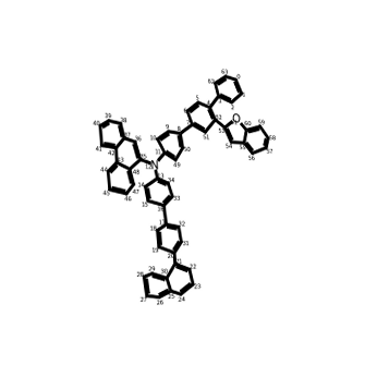 c1ccc(-c2ccc(-c3ccc(N(c4ccc(-c5ccc(-c6cccc7ccccc67)cc5)cc4)c4cc5ccccc5c5ccccc45)cc3)cc2-c2cc3ccccc3o2)cc1